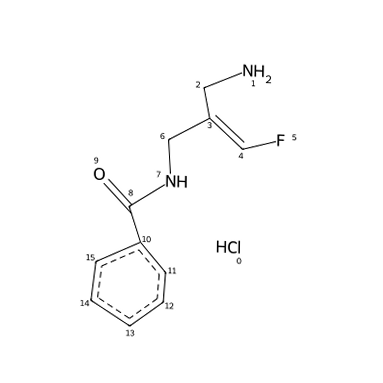 Cl.NCC(=CF)CNC(=O)c1ccccc1